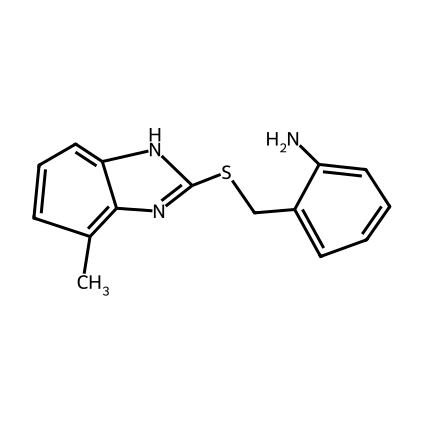 Cc1cccc2[nH]c(SCc3ccccc3N)nc12